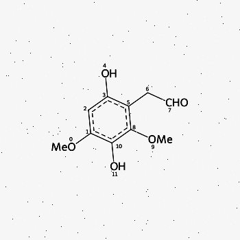 COc1cc(O)c(CC=O)c(OC)c1O